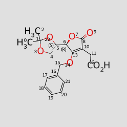 CC1(C)OC[C@@H]([C@H]2OC(=O)C(CC(=O)O)=C2OCc2ccccc2)O1